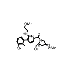 COCCNc1nc(C(=O)N2C/C(=N/OC)C[C@H]2CO)ccc1-c1cccc(C#N)c1C